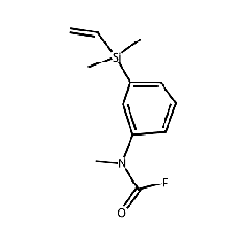 C=C[Si](C)(C)c1cccc(N(C)C(=O)F)c1